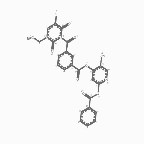 COCn1cc(F)c(=O)n(C(=O)c2cccc(C(=O)Oc3cc(OC(=O)c4ccccc4)ncc3C#N)c2)c1=O